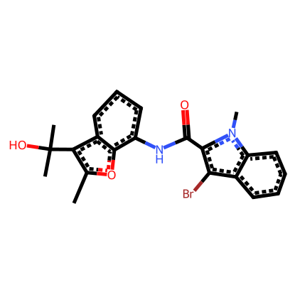 Cc1oc2c(NC(=O)c3c(Br)c4ccccc4n3C)cccc2c1C(C)(C)O